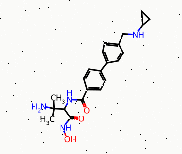 CC(C)(N)C(NC(=O)c1ccc(-c2ccc(CNC3CC3)cc2)cc1)C(=O)NO